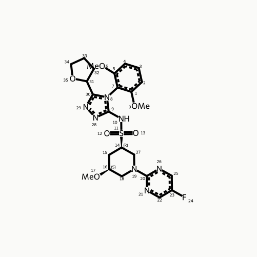 COc1cccc(OC)c1-n1c(NS(=O)(=O)[C@@H]2C[C@H](OC)CN(c3ncc(F)cn3)C2)nnc1C1CCCO1